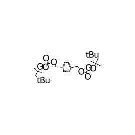 CC(C)(C)CC(C)(C)OOC(=O)OCc1ccc(COC(=O)OOC(C)(C)CC(C)(C)C)cc1